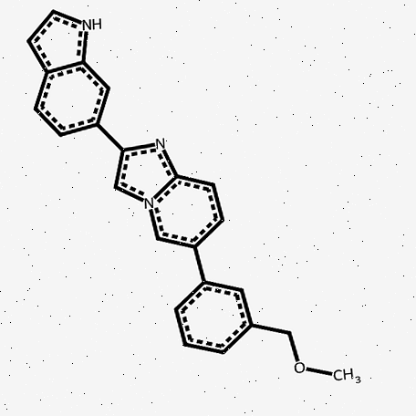 COCc1cccc(-c2ccc3nc(-c4ccc5cc[nH]c5c4)cn3c2)c1